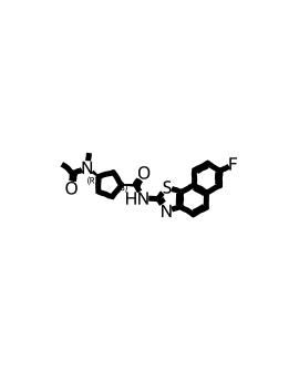 CC(=O)N(C)[C@@H]1CC[C@H](C(=O)Nc2nc3ccc4cc(F)ccc4c3s2)C1